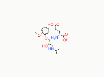 COc1ccccc1OCC(O)CNC(C)C.N[C@@H](CCC(=O)O)C(=O)O